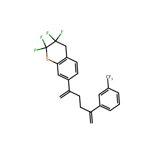 C=C(CCC(=C)c1ccc2c(c1)SC(F)(F)C(F)(F)C2)c1cccc(C(F)(F)F)c1